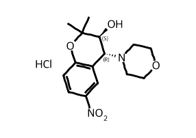 CC1(C)Oc2ccc([N+](=O)[O-])cc2[C@@H](N2CCOCC2)[C@@H]1O.Cl